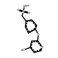 CNS(=O)(=O)Cc1ccc(Oc2cc(C#N)ccn2)cc1